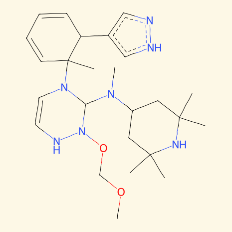 COCON1NC=CN(C2(C)C=CC=CC2c2cn[nH]c2)C1N(C)C1CC(C)(C)NC(C)(C)C1